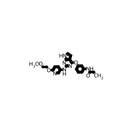 C=CC(=O)Nc1cccc(Oc2nc(Nc3ccc(OCCOC)nc3)nc3[nH]ccc23)c1